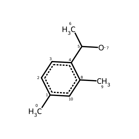 Cc1ccc(C(C)[O])c(C)c1